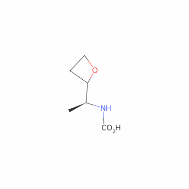 C[C@H](NC(=O)O)C1CCO1